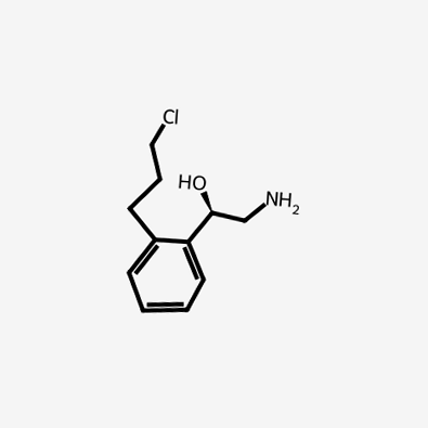 NC[C@H](O)c1ccccc1CCCCl